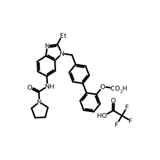 CCc1nc2ccc(NC(=O)N3CCCC3)cc2n1Cc1ccc(-c2ccccc2OC(=O)O)cc1.O=C(O)C(F)(F)F